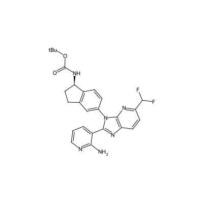 CC(C)(C)OC(=O)N[C@@H]1CCc2cc(-n3c(-c4cccnc4N)nc4ccc(C(F)F)nc43)ccc21